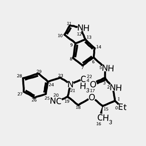 CCC(NC(=O)Nc1ccc2cc[nH]c2c1)[C@@H](C)OCC(C#N)N(C)Cc1ccccc1